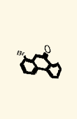 O=C1Cc2c(Br)cccc2-c2ccccc21